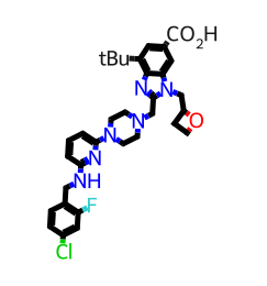 CC(C)(C)c1cc(C(=O)O)cc2c1nc(CN1CCN(c3cccc(NCc4ccc(Cl)cc4F)n3)CC1)n2CC1CCO1